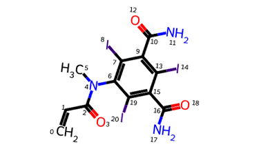 C=CC(=O)N(C)c1c(I)c(C(N)=O)c(I)c(C(N)=O)c1I